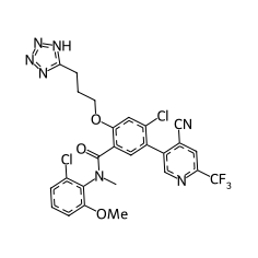 COc1cccc(Cl)c1N(C)C(=O)c1cc(-c2cnc(C(F)(F)F)cc2C#N)c(Cl)cc1OCCCc1nnn[nH]1